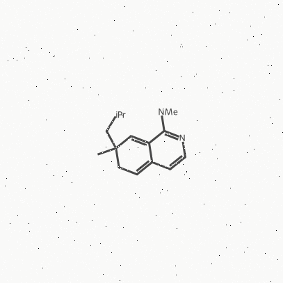 CNc1nccc2c1=CC(C)(CC(C)C)CC=2